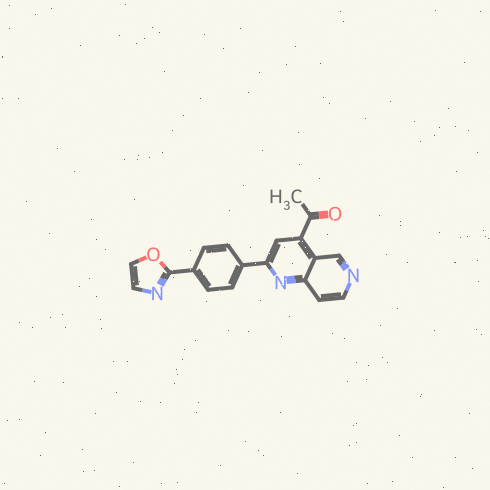 CC(=O)c1cc(-c2ccc(-c3ncco3)cc2)nc2ccncc12